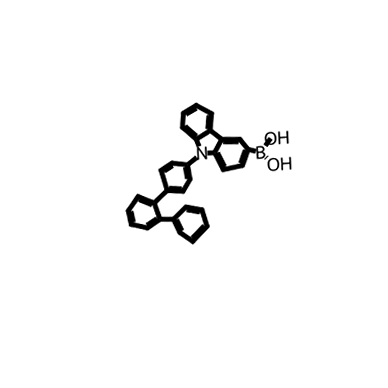 OB(O)c1ccc2c(c1)c1ccccc1n2-c1ccc(-c2ccccc2-c2ccccc2)cc1